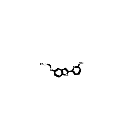 CC(C)(C)c1cccc(-c2cc3cc(SCC(=O)O)ccc3[nH]2)n1